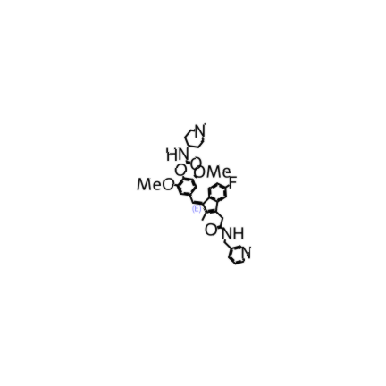 COc1cc(/C=C2/C(C)=C(CC(=O)NCc3cccnc3)c3cc(F)ccc32)cc(OC)c1OC(=O)NC1CCN(C)CC1